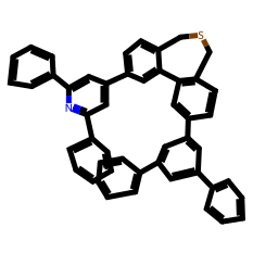 c1ccc(-c2cc(-c3ccccc3)cc(-c3ccc4c(c3)-c3cc(-c5cc(-c6ccccc6)nc(-c6ccccc6)c5)ccc3CSC4)c2)cc1